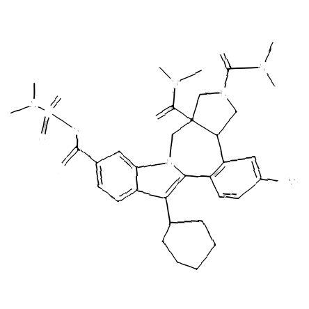 COc1ccc2c(c1)C1CN(C(=O)N(C)C)CC1(C(=O)N(C)C)Cn1c-2c(C2CCCCC2)c2ccc(C(=O)NS(=O)(=O)N(C)C)cc21